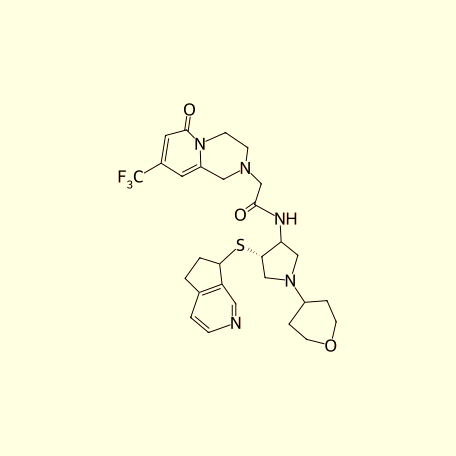 O=C(CN1CCn2c(cc(C(F)(F)F)cc2=O)C1)NC1CN(C2CCOCC2)C[C@@H]1SC1CCc2ccncc21